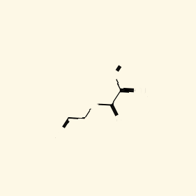 C=CCOC(=O)C(=C)P=O